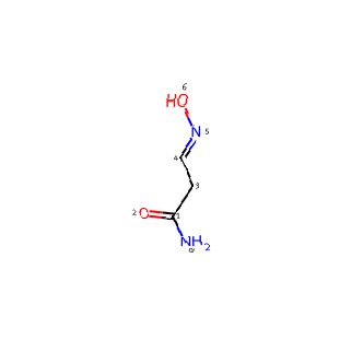 NC(=O)C/[C]=N/O